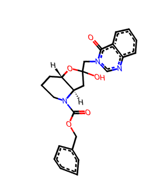 O=C(OCc1ccccc1)N1CCC[C@@H]2OC(O)(Cn3cnc4ccccc4c3=O)C[C@H]21